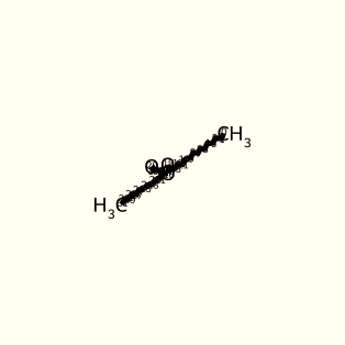 CCCCCCCCCCCCCCC(=O)OC(CC=O)CCCCCCCCCCC